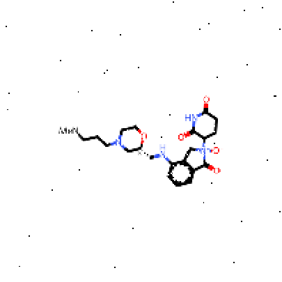 CNCCCN1CCO[C@H](CNc2cccc3c2C[N+]([O-])(C2CCC(=O)NC2=O)C3=O)C1